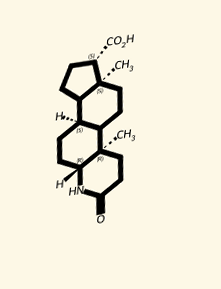 C[C@]12CCC3[C@@H](CC[C@H]4NC(=O)CC[C@]34C)C1CC[C@@H]2C(=O)O